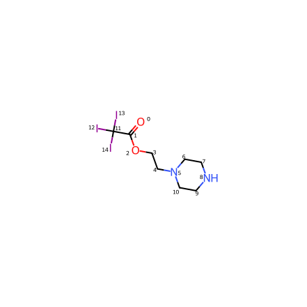 O=C(OCCN1CCNCC1)C(I)(I)I